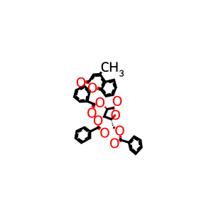 Cc1cc(=O)oc2cc(O[C@@H]3O[C@H](COC(=O)c4ccccc4)[C@@H](OC(=O)c4ccccc4)[C@H]3OC(=O)c3ccccc3)ccc12